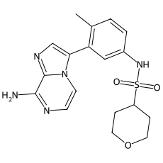 Cc1ccc(NS(=O)(=O)C2CCOCC2)cc1-c1cnc2c(N)nccn12